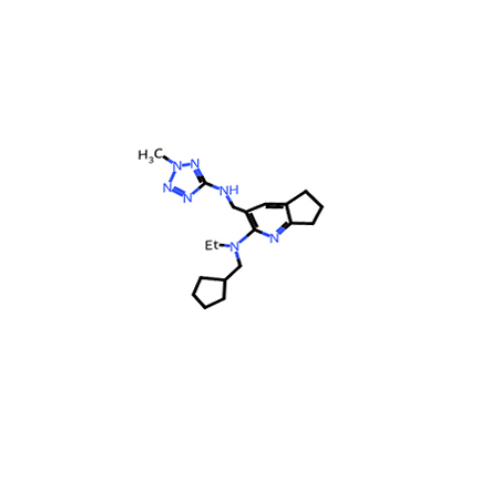 CCN(CC1CCCC1)c1nc2c(cc1CNc1nnn(C)n1)CCC2